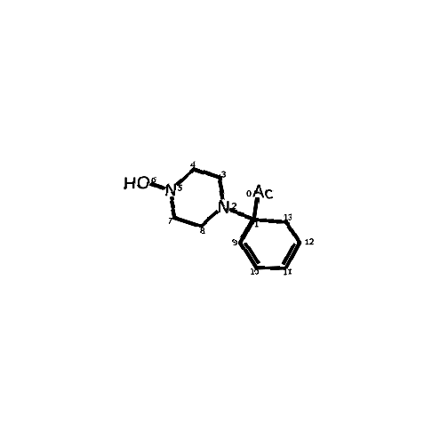 CC(=O)C1(N2CCN(O)CC2)C=CC=CC1